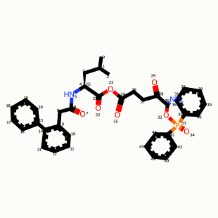 CC(C)C[C@H](NC(=O)Cc1ccccc1-c1ccccc1)C(=O)OC(=O)CCC(=O)C(N)OP(=O)(c1ccccc1)c1ccccc1